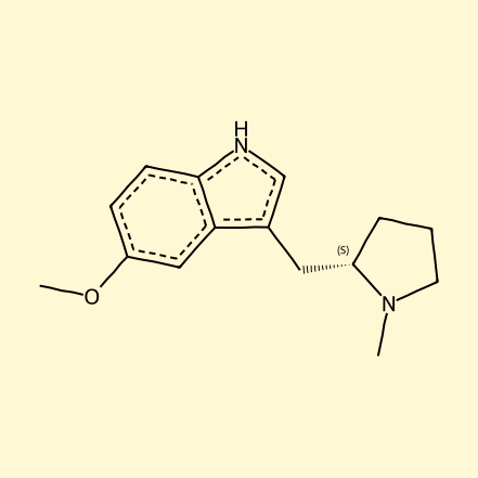 COc1ccc2[nH]cc(C[C@@H]3CCCN3C)c2c1